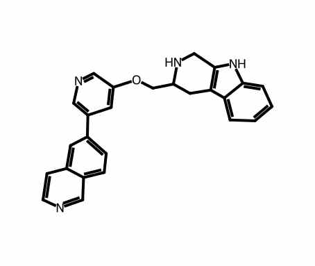 c1ccc2c3c([nH]c2c1)CNC(COc1cncc(-c2ccc4cnccc4c2)c1)C3